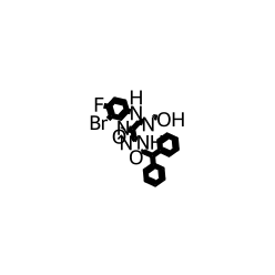 O=C(Nc1nonc1/C(=N/CO)Nc1ccc(F)c(Br)c1)C(c1ccccc1)c1ccccc1